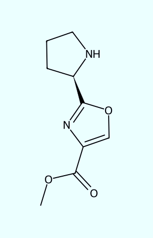 COC(=O)c1coc([C@H]2CCCN2)n1